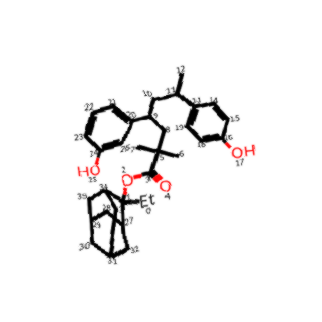 CCC1(OC(=O)C(C)(C)CC(CC(C)c2ccc(O)cc2)c2cccc(O)c2)C2CC3CC(C2)CC1C3